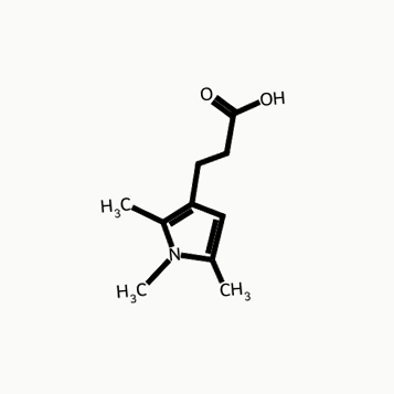 Cc1cc(CCC(=O)O)c(C)n1C